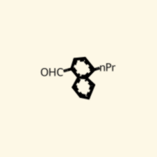 CCCc1ccc(C=O)c2ccccc12